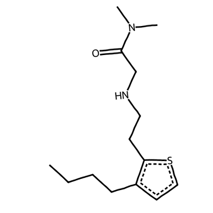 CCCCc1ccsc1CCNCC(=O)N(C)C